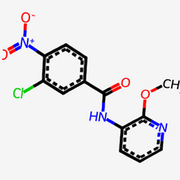 COc1ncccc1NC(=O)c1ccc([N+](=O)[O-])c(Cl)c1